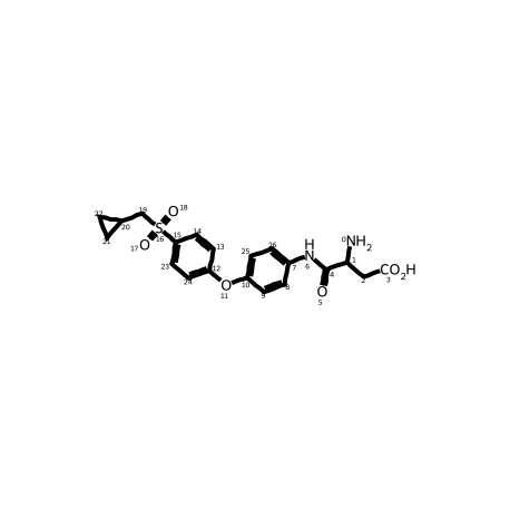 NC(CC(=O)O)C(=O)Nc1ccc(Oc2ccc(S(=O)(=O)CC3CC3)cc2)cc1